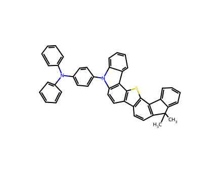 CC1(C)c2ccccc2-c2c1ccc1c2sc2c1ccc1c2c2ccccc2n1-c1ccc(N(c2ccccc2)c2ccccc2)cc1